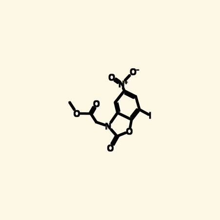 COC(=O)Cn1c(=O)oc2c(I)cc([N+](=O)[O-])cc21